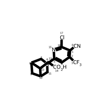 N#Cc1c(C(F)(F)F)cc(N2CC3CC(C2)C3CC(=O)O)nc1Cl